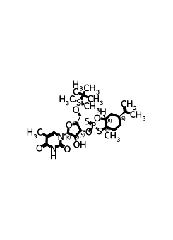 C=C(C)[C@H]1CC[C@@]2(C)SP(=S)(O[C@H]3[C@@H](O)[C@H](n4cc(C)c(=O)[nH]c4=O)O[C@@H]3CO[Si](C)(C)C(C)(C)C)O[C@@H]2C1